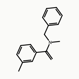 C=C(c1cccc(C)c1)N(C)Cc1ccccc1